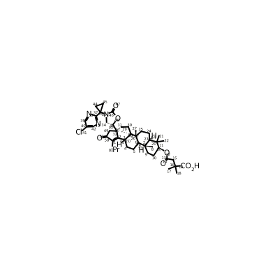 CC(C)C1=C2[C@H]3CC[C@@H]4[C@@]5(C)CC[C@H](OC(=O)CC(C)(C)C(=O)O)C(C)(C)[C@@H]5CC[C@@]4(C)[C@]3(C)CC[C@@]2([C@@H]2CN(C3(c4ncc(Cl)cn4)CC3)C(=O)O2)CC1=O